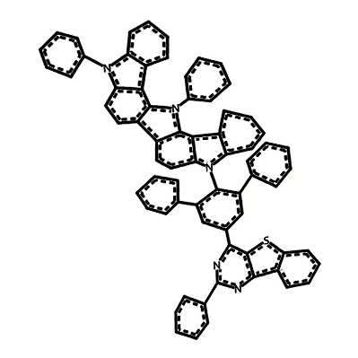 c1ccc(-c2nc(-c3cc(-c4ccccc4)c(-n4c5ccccc5c5c4ccc4c6ccc7c(c8ccccc8n7-c7ccccc7)c6n(-c6ccccc6)c45)c(-c4ccccc4)c3)c3sc4ccccc4c3n2)cc1